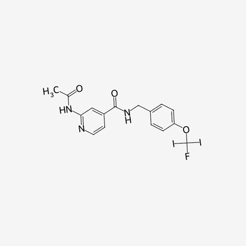 CC(=O)Nc1cc(C(=O)NCc2ccc(OC(F)(I)I)cc2)ccn1